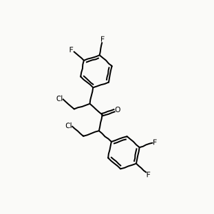 O=C(C(CCl)c1ccc(F)c(F)c1)C(CCl)c1ccc(F)c(F)c1